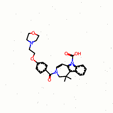 CC1(C)CN(C(=O)c2ccc(OCCN3CCOCC3)cc2)C=Cc2c1c1ccccc1n2C(=O)O